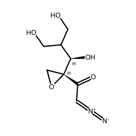 [N-]=[N+]=CC(=O)[C@]1([C@H](O)C(CO)CO)CO1